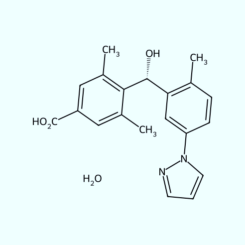 Cc1ccc(-n2cccn2)cc1[C@@H](O)c1c(C)cc(C(=O)O)cc1C.O